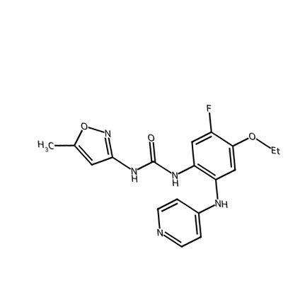 CCOc1cc(Nc2ccncc2)c(NC(=O)Nc2cc(C)on2)cc1F